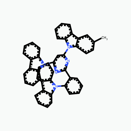 Cc1ccc2c(c1)c1ccccc1n2-c1cc(-n2c3ccccc3c3ccccc32)nc(-c2ccccc2-n2c3ccccc3c3ccccc32)n1